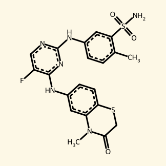 Cc1ccc(Nc2ncc(F)c(Nc3ccc4c(c3)N(C)C(=O)CS4)n2)cc1S(N)(=O)=O